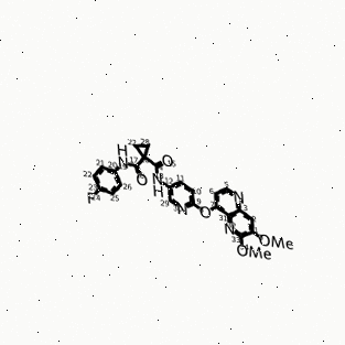 COc1cc2nccc(Oc3ccc(NC(=O)C4(C(=O)Nc5ccc(F)cc5)CC4)cn3)c2nc1OC